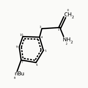 C=C(N)Cc1ccc(CCCC)cc1